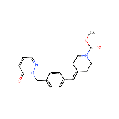 CC(C)(C)OC(=O)N1CCC(=Cc2ccc(Cn3ncccc3=O)cc2)CC1